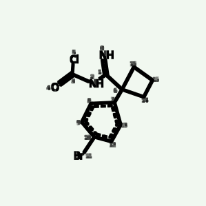 N=C(NC(=O)Cl)C1(c2ccc(Br)cc2)CCC1